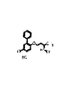 CCNC(C)CCOc1ccc(Cl)cc1-c1ccccc1.Cl